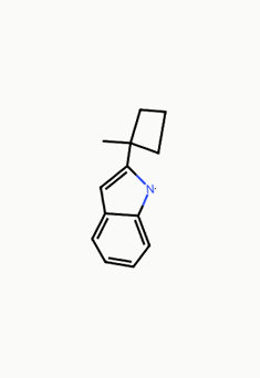 CC1(C2=Cc3ccccc3[N]2)CCC1